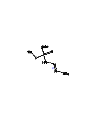 CCCC/N=C/NP(=S)(OC)SCCCC